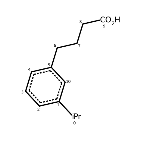 CC(C)c1cccc(CCCC(=O)O)c1